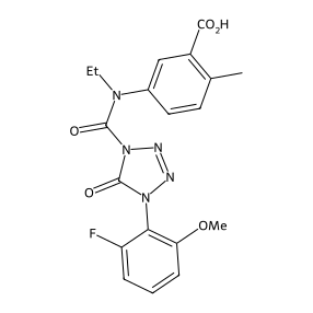 CCN(C(=O)n1nnn(-c2c(F)cccc2OC)c1=O)c1ccc(C)c(C(=O)O)c1